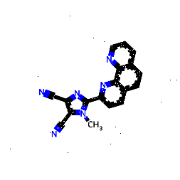 Cn1c(-c2ccc3ccc4cccnc4c3n2)nc(C#N)c1C#N